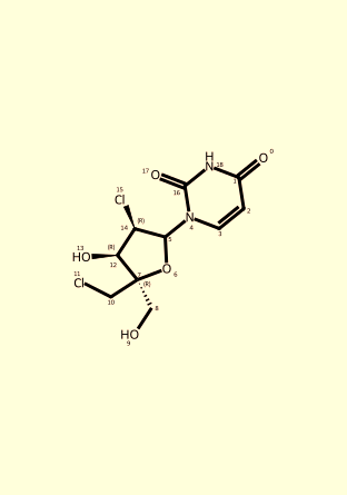 O=c1ccn(C2O[C@@](CO)(CCl)[C@@H](O)[C@H]2Cl)c(=O)[nH]1